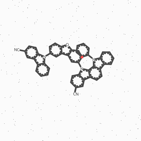 N#Cc1ccc2c(c1)c1ccccc1n2-c1ccc2oc3ccc(-n4c5ccc(C#N)cc5c5ccc6c7ccccc7n(-c7ccccc7)c6c54)cc3c2c1